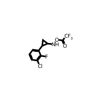 O=C(ONC1CC1c1cccc(Cl)c1F)C(F)(F)F